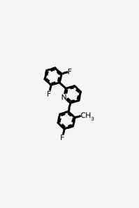 Cc1cc(F)ccc1-c1cccc(-c2c(F)cccc2F)n1